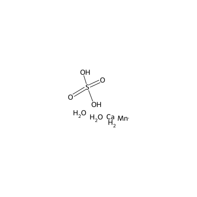 O.O.O=S(=O)(O)O.[CaH2].[Mn]